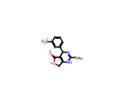 CSC1=NC(c2cccc([N+](=O)[O-])c2)C2=C(COC2=O)N1